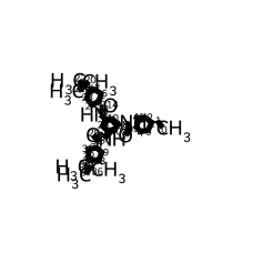 CC[C@H]1CC[C@H](C(=O)Nc2cc(NC(=O)[C@H]3CC[C@@H](C(C)(C)C)CC3)cc(NC(=O)[C@H]3CC[C@@H](C(C)(C)C)CC3)c2)CC1